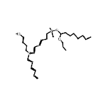 C=CC=CC=CN(C=CC=CCC[Si](C)(C)OC(CCCCCCC)OCCC)CCCCO